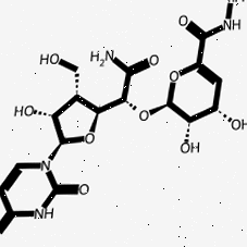 CCCNC(=O)C1=C[C@H](O)[C@H](O)[C@@H](O[C@@H](C(N)=O)[C@H]2O[C@@H](n3ccc(=O)[nH]c3=O)[C@H](O)[C@@H]2CO)O1